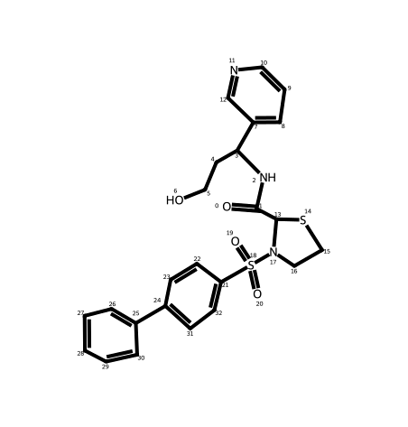 O=C(NC(CCO)c1cccnc1)C1SCCN1S(=O)(=O)c1ccc(-c2ccccc2)cc1